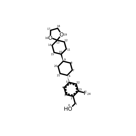 OCc1ccc([C@H]2CC[C@H](C3CCC4(CC3)OCCO4)CC2)cc1F